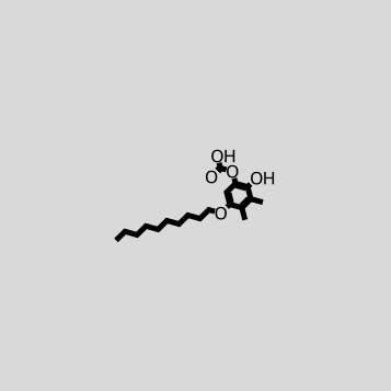 CCCCCCCCCCOc1cc(OC(=O)O)c(O)c(C)c1C